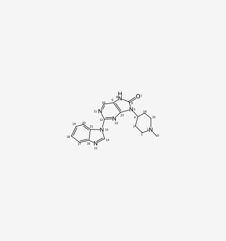 CN1CCC(n2c(=O)[nH]c3cnc(-n4cnc5ccccc54)nc32)CC1